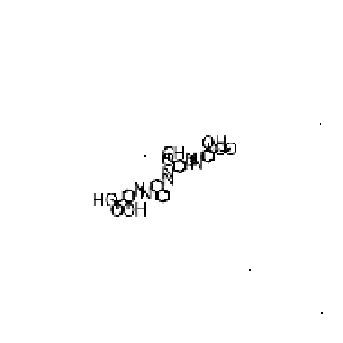 COc1cc(N=Nc2ccc(OC=O)c(O)c2)ccc1N=Nc1ccc(N=Nc2ccc(C(=O)O)c(O)c2)c2ccccc12